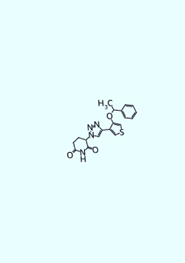 CC(Oc1cscc1-c1cn(C2CCC(=O)NC2=O)nn1)c1ccccc1